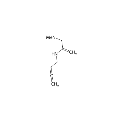 C=C=CCNC(=C)CNC